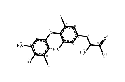 Cc1cc(Oc2c(C)cc(CC(N)C(=O)O)cc2I)cc(I)c1O